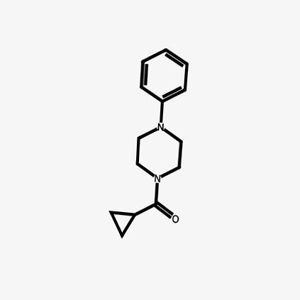 O=C(C1CC1)N1CCN(c2ccccc2)CC1